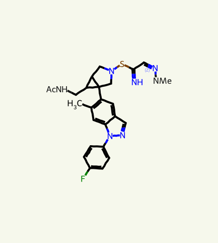 CN/N=C\C(=N)SN1CC2C(CNC(C)=O)C2(c2cc3cnn(-c4ccc(F)cc4)c3cc2C)C1